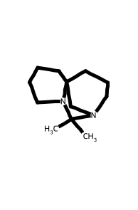 CC1(C)N2CCCC3(CCCCN31)C2